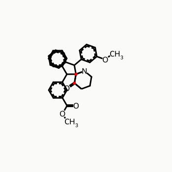 COC(=O)c1cccc(C(c2ccccc2)C2(C(c3ccccc3)c3cccc(OC)c3)C(=O)C3CCN2CC3)c1